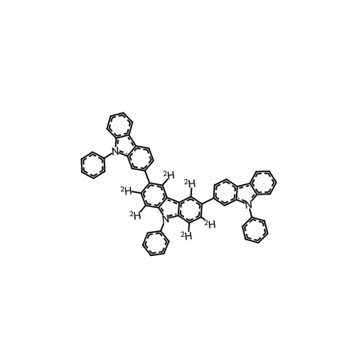 [2H]c1c(-c2ccc3c4ccccc4n(-c4ccccc4)c3c2)c([2H])c2c3c([2H])c(-c4ccc5c6ccccc6n(-c6ccccc6)c5c4)c([2H])c([2H])c3n(-c3ccccc3)c2c1[2H]